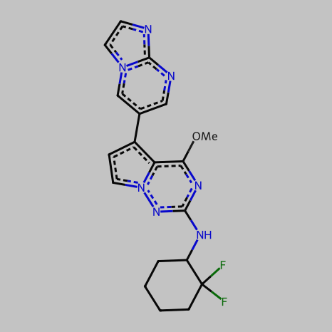 COc1nc(NC2CCCCC2(F)F)nn2ccc(-c3cnc4nccn4c3)c12